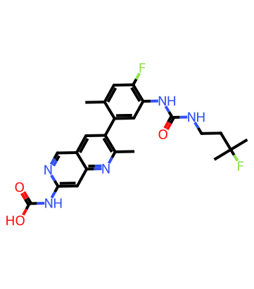 Cc1cc(F)c(NC(=O)NCCC(C)(C)F)cc1-c1cc2cnc(NC(=O)O)cc2nc1C